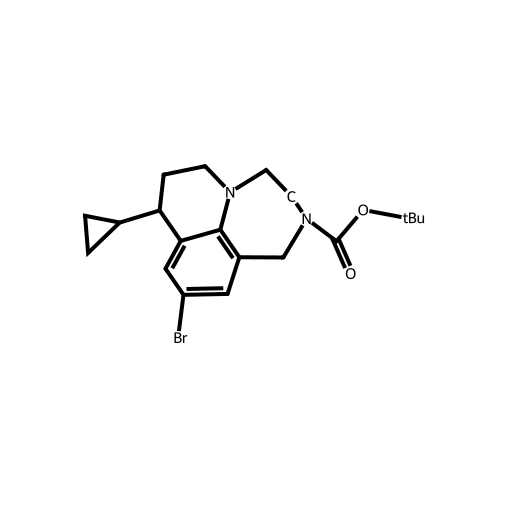 CC(C)(C)OC(=O)N1CCN2CCC(C3CC3)c3cc(Br)cc(c32)C1